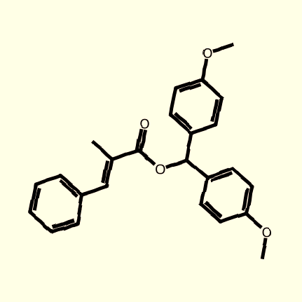 COc1ccc(C(OC(=O)C(C)=Cc2ccccc2)c2ccc(OC)cc2)cc1